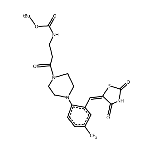 CC(C)(C)OC(=O)NCCC(=O)N1CCN(c2ccc(C(F)(F)F)cc2C=C2SC(=O)NC2=O)CC1